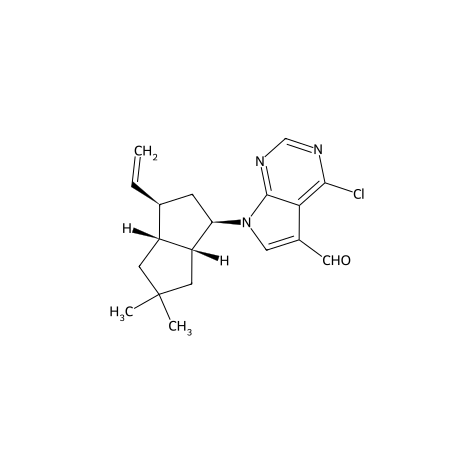 C=C[C@H]1C[C@@H](n2cc(C=O)c3c(Cl)ncnc32)[C@@H]2CC(C)(C)C[C@@H]21